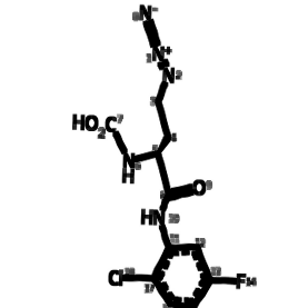 [N-]=[N+]=NCC[C@H](NC(=O)O)C(=O)Nc1cc(F)ccc1Cl